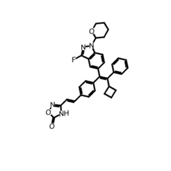 O=c1[nH]c(C=Cc2ccc(C(=C(c3ccccc3)C3CCC3)c3ccc4c(c3)c(F)nn4C3CCCCO3)cc2)no1